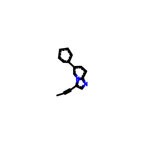 CC#Cc1cnc2ccc(-c3ccccc3)cn12